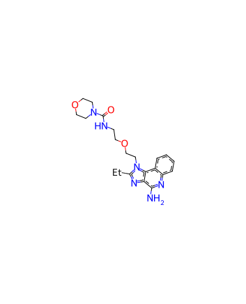 CCc1nc2c(N)nc3ccccc3c2n1CCOCCNC(=O)N1CCOCC1